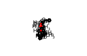 CC(C)C1=C2[C@H]3CC[C@@H]4[C@]5(C)CC[C@H]([C@@]6(C(=O)O)C[C@@H](C(=O)OCc7ccccc7)C6(C)C)C(C)(C)[C@H]5CC[C@@]4(C)[C@]3(C)CC[C@@]2(NC(=O)N2CCCC2c2ncc(-c3ccccc3)[nH]2)CC1=O